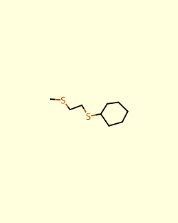 CSCCSC1CCCCC1